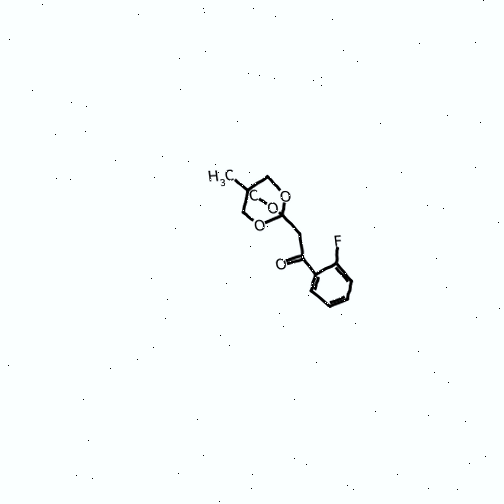 CC12COC(CC(=O)c3ccccc3F)(OC1)OC2